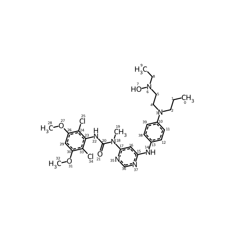 CCCN(CCN(O)CC)c1ccc(Nc2cc(N(C)C(=O)Nc3c(Cl)c(OC)cc(OC)c3Cl)ncn2)cc1